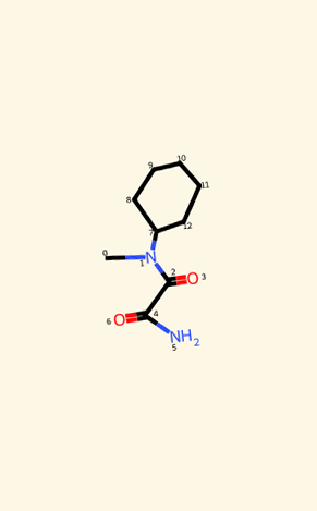 CN(C(=O)C(N)=O)C1CCCCC1